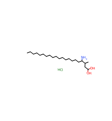 CCCCCCCCCCCCCCCCCC(N)C(C)CC(O)O.Cl